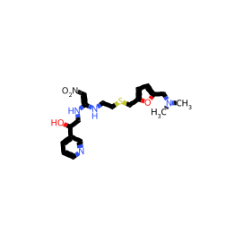 CN(C)Cc1ccc(CSCCN/C(=C/[N+](=O)[O-])NCC(O)c2cccnc2)o1